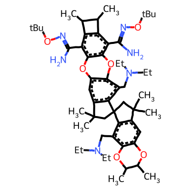 CCN(CC)Cc1c2c(cc3c1C1(CC3(C)C)CC(C)(C)c3cc4c(c(CN(CC)CC)c31)OC(C)C(C)O4)Oc1c(c(/C(N)=N/OC(C)(C)C)c3c(c1/C(N)=N/OC(C)(C)C)C(C)C3C)O2